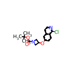 CC(C)(C)OC(=O)N1CC(Oc2ccc3c(Cl)nccc3c2)C1